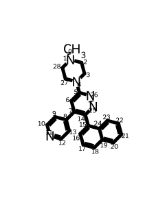 CN1CCN(c2cc(-c3ccncc3)c(-c3cccc4ccccc34)nn2)CC1